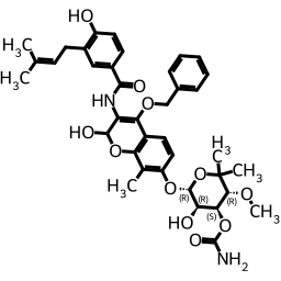 CO[C@@H]1[C@@H](OC(N)=O)[C@@H](O)[C@H](Oc2ccc3c(c2C)OC(O)C(NC(=O)c2ccc(O)c(CC=C(C)C)c2)=C3OCc2ccccc2)OC1(C)C